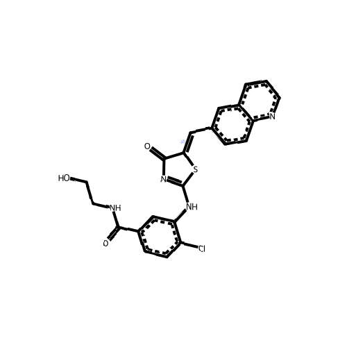 O=C1N=C(Nc2cc(C(=O)NCCO)ccc2Cl)S/C1=C\c1ccc2ncccc2c1